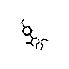 C=C(C)C(O[Si](CC)(CC)CC)c1ccc(OC)cc1